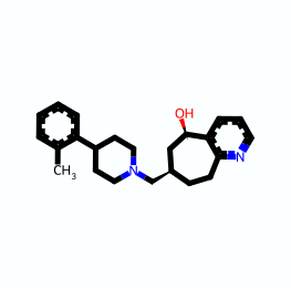 Cc1ccccc1C1CCN(C[C@@H]2CCc3ncccc3[C@H](O)C2)CC1